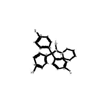 [O-][S+](N1CCCCC1)C(c1ccc(F)cc1)(c1ccc(F)cc1)c1ccc(F)cc1